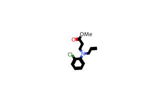 C=CCN(CCC(=O)OC)c1ccccc1Cl